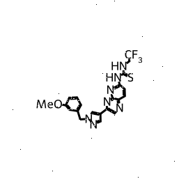 COc1cccc(Cn2cc(-c3cnc4ccc(NC(=S)NCC(F)(F)F)nc4n3)cn2)c1